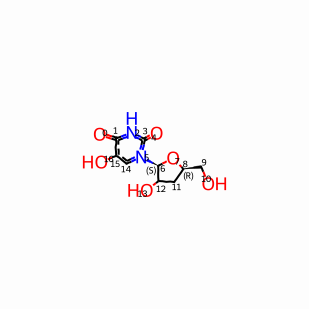 O=c1[nH]c(=O)n([C@H]2O[C@@H](CO)CC2O)cc1O